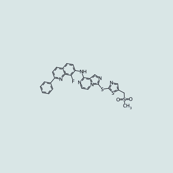 CS(=O)(=O)Cc1cnc(Sc2ncc3c(Nc4ccc5ccc(-c6ccccc6)nc5c4F)nccn23)s1